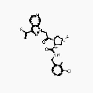 C=C(F)c1nn(CC(=O)N2C[C@H](F)C[C@H]2C(=O)NCc2cccc(Cl)c2F)c2cnccc12